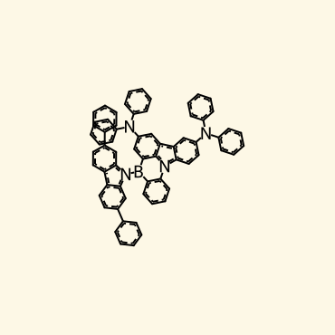 c1ccc(-c2ccc3c4ccc(-c5ccccc5)cc4n(B4c5ccccc5-n5c6ccc(N(c7ccccc7)c7ccccc7)cc6c6cc(N(c7ccccc7)c7ccccc7)cc4c65)c3c2)cc1